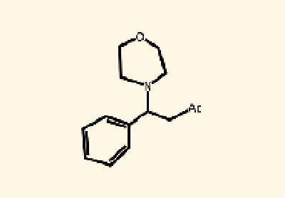 CC(=O)CC(c1ccccc1)N1CCOCC1